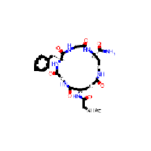 CC(=O)NCC(=O)N[C@H]1CCC(=O)NCC[C@@H](C(N)=O)NC(=O)CNC(=O)[C@@H](Cc2ccccc2)NC(=O)CNC1=O